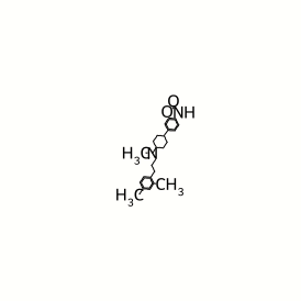 Cc1ccc(CCCN(C)C2CCC(c3ccc4[nH]c(=O)oc4c3)CC2)c(C)c1